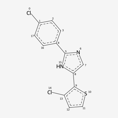 Clc1ccc(-c2ncc(-c3sccc3Cl)[nH]2)cc1